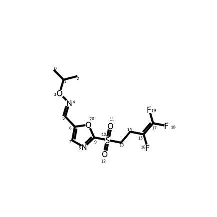 CC(C)ON=Cc1cnc(S(=O)(=O)CCC(F)=C(F)F)o1